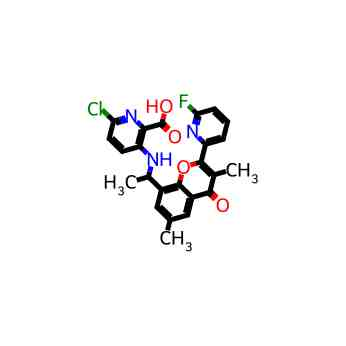 Cc1cc(C(C)Nc2ccc(Cl)nc2C(=O)O)c2oc(-c3cccc(F)n3)c(C)c(=O)c2c1